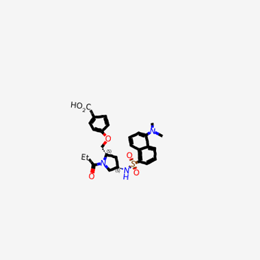 CCC(=O)N1C[C@@H](NS(=O)(=O)c2cccc3c(N(C)C)cccc23)C[C@H]1COc1ccc(C(=O)O)cc1